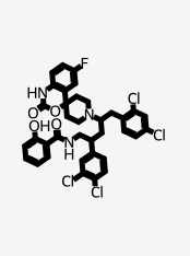 O=C1Nc2ccc(F)cc2C2(CCN(C(Cc3ccc(Cl)cc3Cl)CC(CNC(=O)c3ccccc3O)c3ccc(Cl)c(Cl)c3)CC2)O1